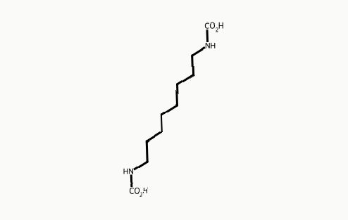 O=C(O)NCCCCCCCCNC(=O)O